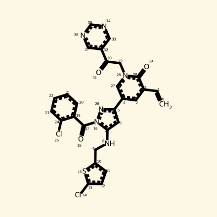 C=Cc1cc(-c2cc(NCc3ccc(Cl)s3)n(C(=O)c3ccccc3Cl)n2)cn(CC(=O)c2cncnc2)c1=O